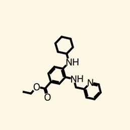 CCOC(=O)c1ccc(NC2CCCCC2)c(NCc2ccccn2)c1